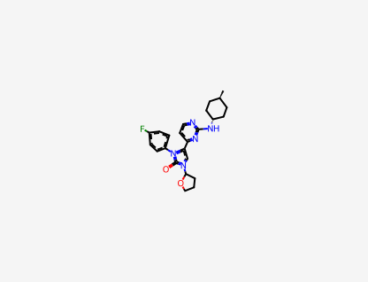 C[C@H]1CC[C@H](Nc2nccc(-c3cn(C4CCCO4)c(=O)n3-c3ccc(F)cc3)n2)CC1